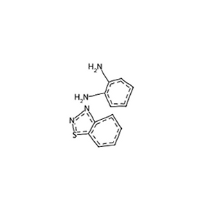 Nc1ccccc1N.c1ccc2snnc2c1